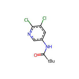 CC(C)(C)C(=O)Nc1cnc(Cl)c(Cl)c1